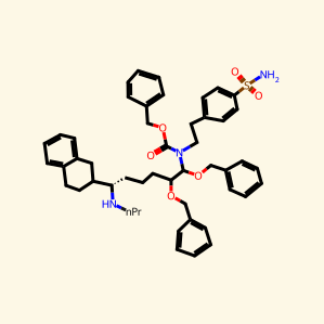 CCCN[C@@H](CCCC(OCc1ccccc1)C(OCc1ccccc1)N(CCc1ccc(S(N)(=O)=O)cc1)C(=O)OCc1ccccc1)C1CCc2ccccc2C1